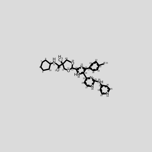 CC1(C(=O)NC2CCCCC2)COC(c2nc(-c3ccc(F)cc3)c(-c3ccnc(Nc4ccncc4)n3)[nH]2)OC1